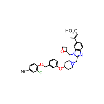 C/C(=C\C(=O)O)c1ccc2nc(CN3CCC(Oc4cccc(COc5ccc(C#N)cc5F)c4)CC3)n(C[C@@H]3CCO3)c2c1